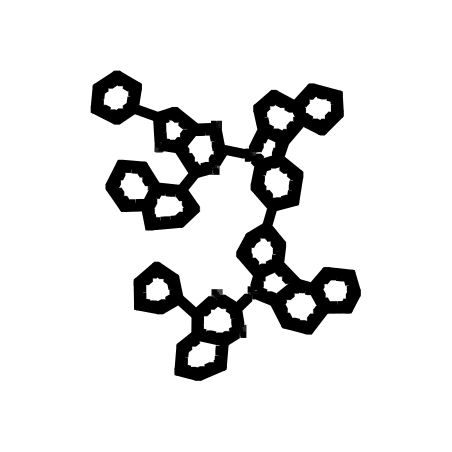 c1ccc(-c2cc3nc(-n4c5cc(-c6ccc7c(c6)c6c8ccccc8ccc6n7-c6nc(-c7ccccc7)c7ccccc7n6)ccc5c5c6ccccc6ccc54)nc(-c4cccc5ccccc45)c3s2)cc1